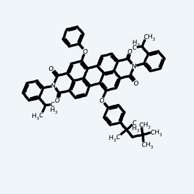 CC(C)c1ccccc1N1C(=O)c2ccc3c4c(Oc5ccc(C(C)(C)CC(C)(C)C)cc5)cc5c6c(ccc(c7c(Oc8ccccc8)cc(c2c37)C1=O)c64)C(=O)N(c1ccccc1C(C)C)C5=O